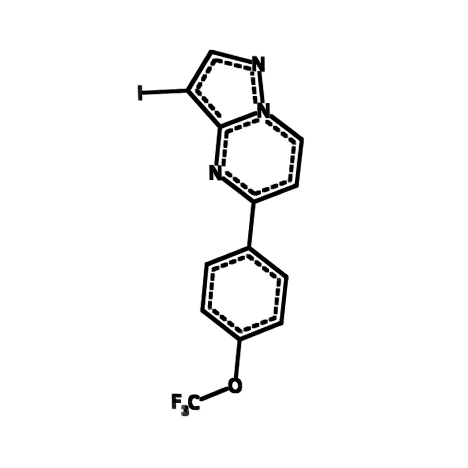 FC(F)(F)Oc1ccc(-c2ccn3ncc(I)c3n2)cc1